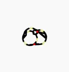 c1c2cc3cc1CSCc1cc4cc(c1)CSCc1cc(cc(c1)CSCc1cc(cc(c1)CSC4)CSC2)CSC3